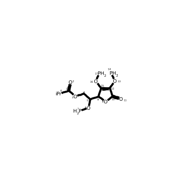 CC(C)C(=O)OCC(OP)C1OC(=O)C(OP)=C1OP